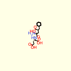 N[C@H](CC(Cc1ccccc1)C(=O)O)C(=O)N[C@@H](CCC(=O)O)C(=O)O